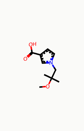 COC(C)(C)Cn1ccc(C(=O)O)c1